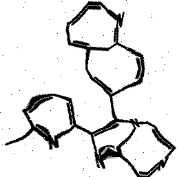 Cc1cccc(-c2nc3cnccn3c2-c2ccc3ncccc3c2)n1